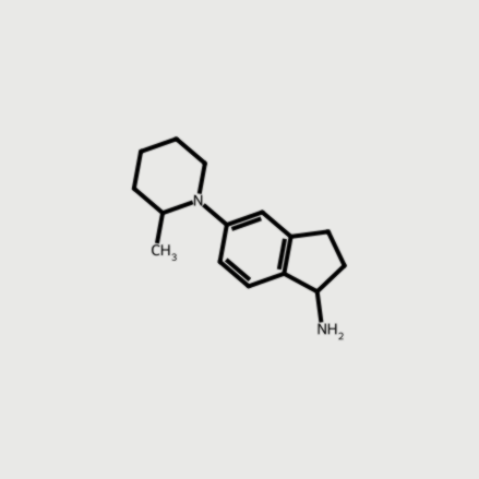 CC1CCCCN1c1ccc2c(c1)CCC2N